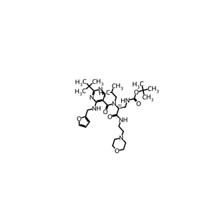 CC(C)CN(C(=O)c1cnc(C(C)(C)C)nc1NCc1ccco1)[C@@H](CNC(=O)OC(C)(C)C)C(=O)NCCN1CCOCC1